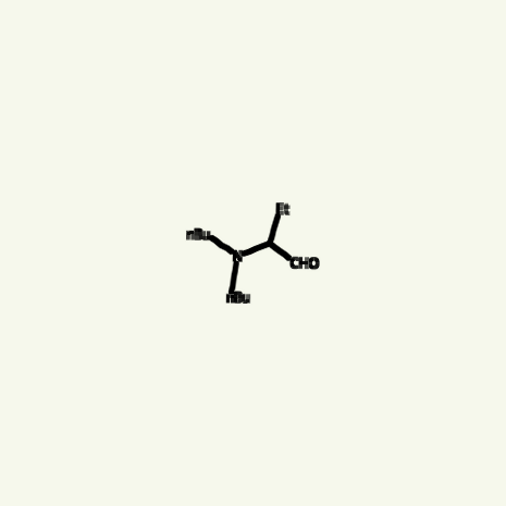 CCCCN(CCCC)C(C=O)CC